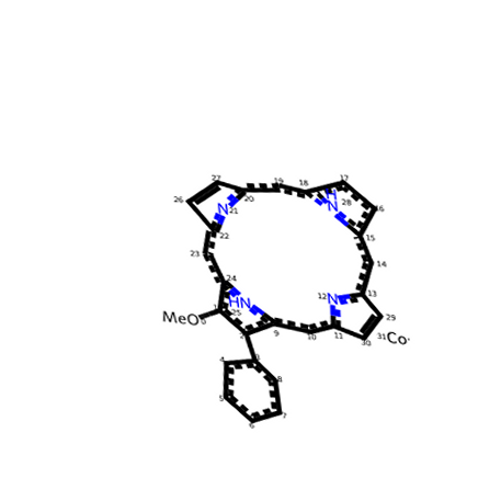 COc1c(-c2ccccc2)c2cc3nc(cc4ccc(cc5nc(cc1[nH]2)C=C5)[nH]4)C=C3.[Co]